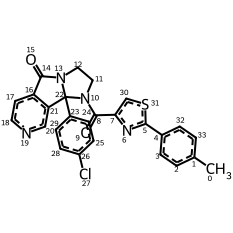 Cc1ccc(-c2nc(C(=O)N3CCN4C(=O)c5ccncc5C34c3ccc(Cl)cc3)cs2)cc1